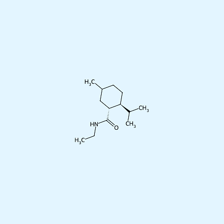 CCNC(=O)[C@@H]1CC(C)CC[C@H]1C(C)C